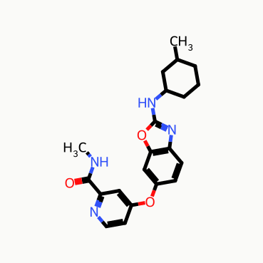 CNC(=O)c1cc(Oc2ccc3nc(NC4CCCC(C)C4)oc3c2)ccn1